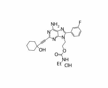 CCNC(=O)OCCn1c(-c2cccc(F)c2)nc2c(N)nc(C#CC3(O)CCCCC3)nc21.Cl